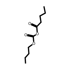 CCCCOC(=O)OC(=O)CCCC